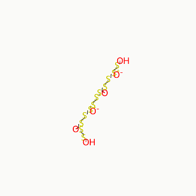 O=C(CSCCSCC[S+]([O-])CSCCSCSC(=O)CSCCSCC[S+]([O-])CCSCO)SCCSCO